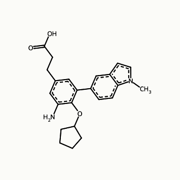 Cn1ccc2cc(-c3cc(CCC(=O)O)cc(N)c3OC3CCCC3)ccc21